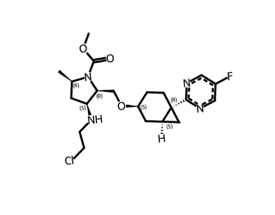 COC(=O)N1[C@H](C)C[C@H](NCCCl)[C@@H]1CO[C@H]1CC[C@@]2(c3ncc(F)cn3)C[C@H]2C1